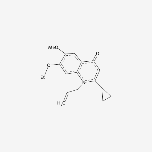 C=CCn1c(C2CC2)cc(=O)c2cc(OC)c(OCC)cc21